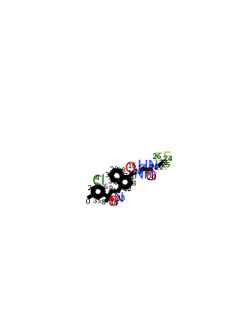 Cc1cc(Cl)cc(C2(C)CC(c3ccc(C(=O)NCC(=O)NCC(F)(F)F)c4ccccc34)=NO2)c1